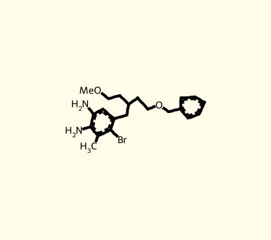 COCCC(CCOCc1ccccc1)Cc1cc(N)c(N)c(C)c1Br